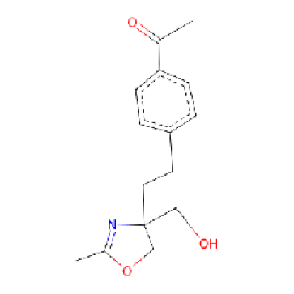 CC(=O)c1ccc(CCC2(CO)COC(C)=N2)cc1